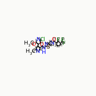 COc1cnc(Cl)cc1-c1cc(C)ncc1C(=O)Nc1nc2c(s1)CN(C(=O)c1cccc(C(F)F)c1F)C2